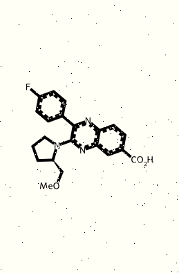 COC[C@H]1CCCN1c1nc2cc(C(=O)O)ccc2nc1-c1ccc(F)cc1